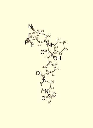 CS(=O)(=O)N1CCN(C(=O)c2cccc(CC(O)(C(=O)Nc3ccc(C#N)c(C(F)(F)F)c3)C3CCCCC3)c2)CC1